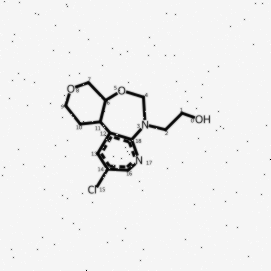 OCCN1COC2COCCC2c2cc(Cl)cnc21